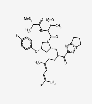 CN[C@@H](C)C(=O)N[C@H](C(=O)N1C[C@@H](Oc2ccc(F)cc2)C[C@H]1CN(CC/C(C)=C/C=C(\C)F)C(=O)c1cn2c(n1)CCC2)[C@@H](C)OC